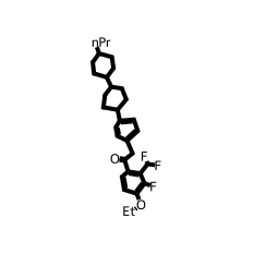 CCCC1CCC(C2CCC(c3ccc(CC(=O)c4ccc(OCC)c(F)c4C(F)F)cc3)CC2)CC1